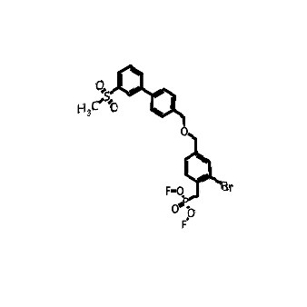 CS(=O)(=O)c1cccc(-c2ccc(COCc3ccc(CP(=O)(OF)OF)c(Br)c3)cc2)c1